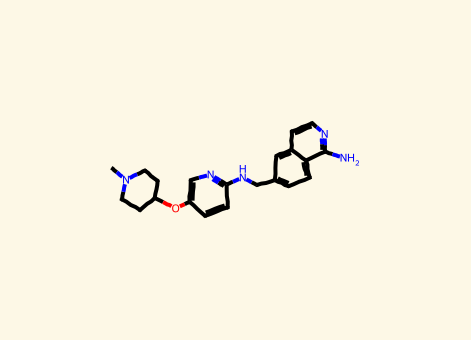 CN1CCC(Oc2ccc(NCc3ccc4c(N)nccc4c3)nc2)CC1